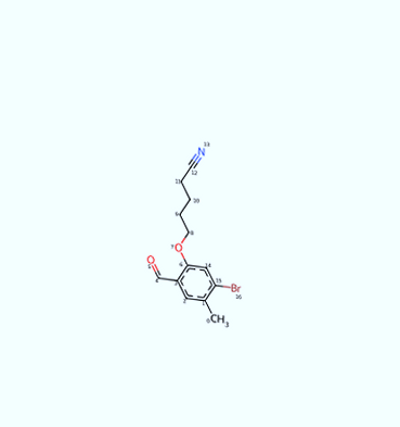 Cc1cc(C=O)c(OCCCCC#N)cc1Br